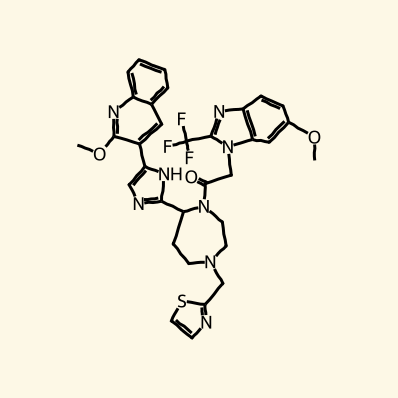 COc1ccc2nc(C(F)(F)F)n(CC(=O)N3CCN(Cc4nccs4)CCC3c3ncc(-c4cc5ccccc5nc4OC)[nH]3)c2c1